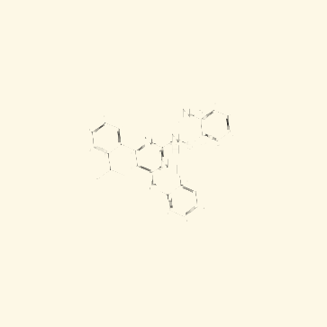 CC(C)c1ccccc1-c1cc(Oc2ccccc2F)nc(NSc2ccccc2N)n1